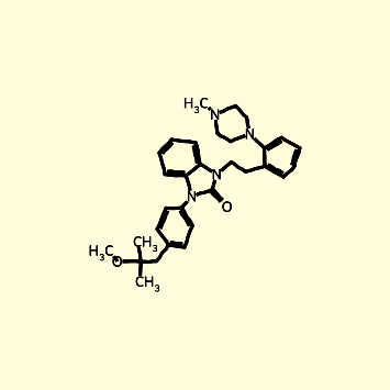 COC(C)(C)Cc1ccc(-n2c(=O)n(CCc3ccccc3N3CCN(C)CC3)c3ccccc32)cc1